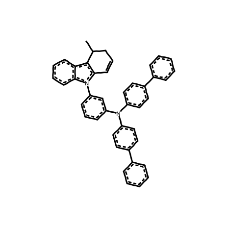 CC1CC=Cc2c1c1ccccc1n2-c1cccc(N(c2ccc(-c3ccccc3)cc2)c2ccc(-c3ccccc3)cc2)c1